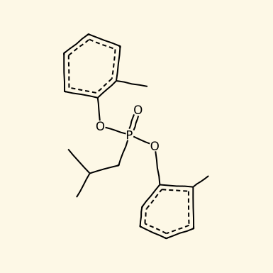 Cc1ccccc1OP(=O)(CC(C)C)Oc1ccccc1C